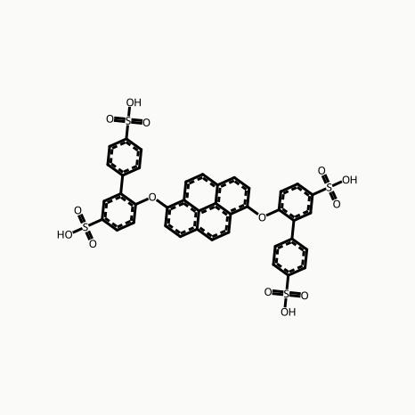 O=S(=O)(O)c1ccc(-c2cc(S(=O)(=O)O)ccc2Oc2ccc3ccc4c(Oc5ccc(S(=O)(=O)O)cc5-c5ccc(S(=O)(=O)O)cc5)ccc5ccc2c3c54)cc1